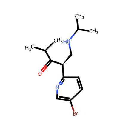 CC(C)NC[C@H](C(=O)C(C)C)c1ccc(Br)cn1